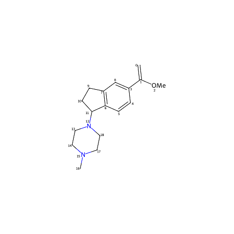 C=C(OC)c1ccc2c(c1)CCC2N1CCN(C)CC1